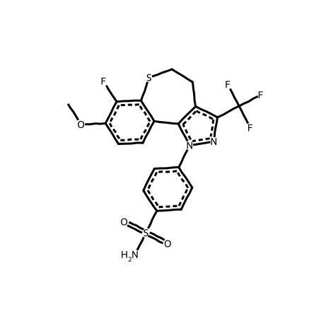 COc1ccc2c(c1F)SCCc1c(C(F)(F)F)nn(-c3ccc(S(N)(=O)=O)cc3)c1-2